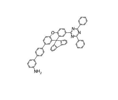 Nc1cccc(-c2ccc(-c3ccc4c(c3)C3(c5cc(-c6nc(-c7ccccc7)nc(-c7ccccc7)n6)ccc5O4)c4ccccc4-c4ccccc43)cc2)c1